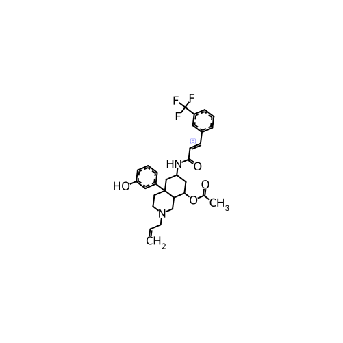 C=CCN1CCC2(c3cccc(O)c3)CC(NC(=O)/C=C/c3cccc(C(F)(F)F)c3)CC(OC(C)=O)C2C1